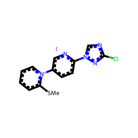 CSc1cccc[n+]1-c1ccc(-n2cnc(Cl)n2)nc1.[I-]